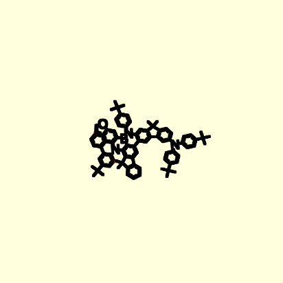 CC(C)(C)c1ccc(N2B3c4cc5occc5cc4N(c4ccc(C(C)(C)C)cc4-c4ccccc4)c4c3c(cc3c4C(C)(C)c4ccccc4-3)-c3cc4c(cc32)C(C)(C)c2ccc(N(c3ccc(C(C)(C)C)cc3)c3ccc(C(C)(C)C)cc3)cc2-4)cc1